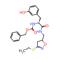 CCSC1=NOC(CNC(=O)[C@H](Cc2cccc(O)c2)NC(=O)OCc2ccccc2)C1